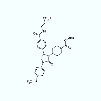 CC(C)(C)OC(=O)N1CCC(N2C(=O)N(c3ccc(OC(F)(F)F)cc3)CC2c2ccc(C(=O)NCCC(=O)O)cc2)CC1